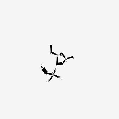 CC[n+]1ccn(C)c1.N#C[B-](F)(F)F